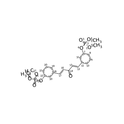 COP(=O)(OC)Oc1cccc(/C=C/C(=O)/C=C/c2cccc(OP(=O)(OC)OC)c2)c1